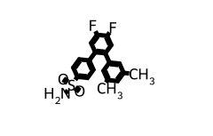 Cc1cc(C)cc(-c2cc(F)c(F)cc2-c2ccc(S(N)(=O)=O)cc2)c1